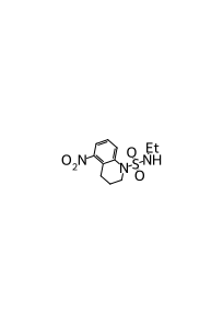 CCNS(=O)(=O)N1CCCc2c1cccc2[N+](=O)[O-]